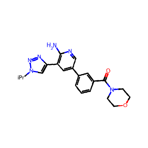 CC(C)n1cc(-c2cc(-c3cccc(C(=O)N4CCOCC4)c3)cnc2N)nn1